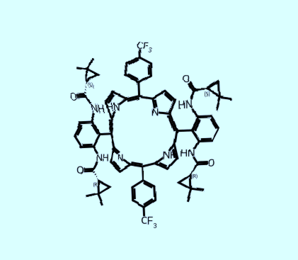 CC1(C)C[C@@H]1C(=O)Nc1cccc(NC(=O)[C@@H]2CC2(C)C)c1-c1c2nc(c(-c3ccc(C(F)(F)F)cc3)c3ccc([nH]3)c(-c3c(NC(=O)[C@H]4CC4(C)C)cccc3NC(=O)[C@@H]3CC3(C)C)c3nc(c(-c4ccc(C(F)(F)F)cc4)c4ccc1[nH]4)C=C3)C=C2